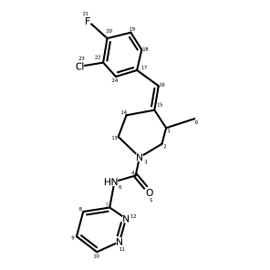 CC1CN(C(=O)Nc2cccnn2)CCC1=Cc1ccc(F)c(Cl)c1